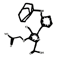 O=C(O)COc1c(C(=O)O)sc(-c2cccc(NC3C4CC5CC(C4)CC3C5)c2)c1Cl